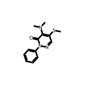 CSc1cnn(-c2ccccc2)c(=O)c1N(C)C